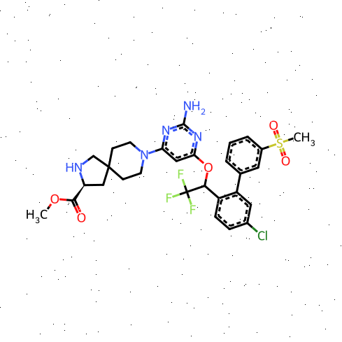 COC(=O)[C@@H]1CC2(CCN(c3cc(OC(c4ccc(Cl)cc4-c4cccc(S(C)(=O)=O)c4)C(F)(F)F)nc(N)n3)CC2)CN1